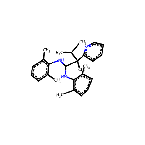 Cc1cccc(C)c1NC(Nc1c(C)cccc1C)C(C)(c1ccccn1)C(C)C